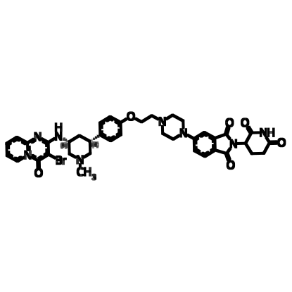 CN1C[C@H](Nc2nc3ccccn3c(=O)c2Br)C[C@H](c2ccc(OCCN3CCN(c4ccc5c(c4)C(=O)N(C4CCC(=O)NC4=O)C5=O)CC3)cc2)C1